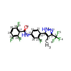 Cc1c(C(F)(F)F)n[nH]c1-c1ccc(NC(=O)c2c(F)ccc(F)c2F)cc1F